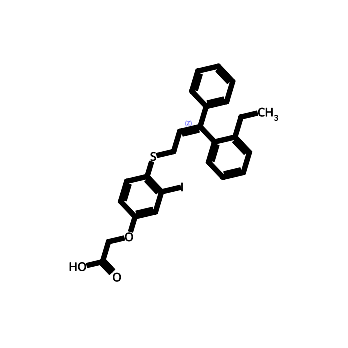 CCc1ccccc1/C(=C\CSc1ccc(OCC(=O)O)cc1I)c1ccccc1